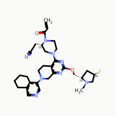 C=CC(=O)N1CCN(c2nc(OC[C@@H]3C[C@@H](F)CN3C)nc3c2CCN(c2cncc4c2CCCC4)C3)C[C@@H]1CC#N